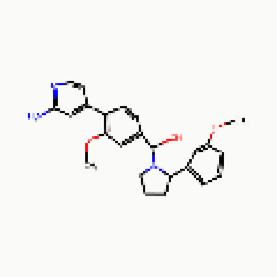 COc1cccc(C2CCCN2C(O)c2ccc(-c3ccnc(N)c3)c(OC)c2)c1